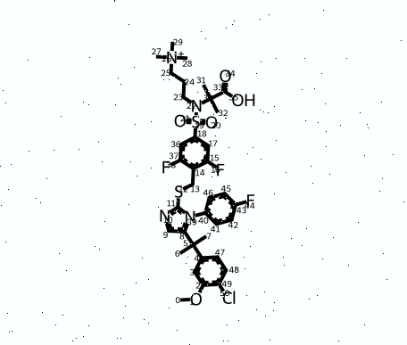 COc1cc(C(C)(C)c2cnc(SCc3c(F)cc(S(=O)(=O)N(CCC[N+](C)(C)C)C(C)(C)C(=O)O)cc3F)n2-c2ccc(F)cc2)ccc1Cl